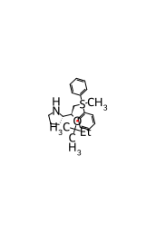 CCC(C)(C)O[C@H](CS(C)(c1ccccc1)c1ccccc1)[C@@H]1CCCN1